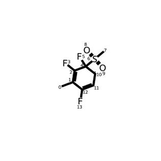 CC1=C(F)C(F)(S(C)(=O)=O)[CH]C=C1F